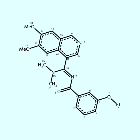 CCOc1cccc(C(=O)N=C(c2cncc3cc(OC)c(OC)cc23)N(C)C)c1